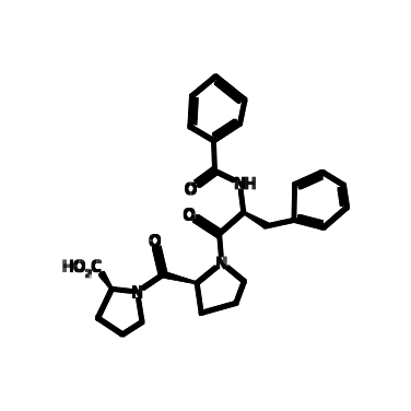 O=C(N[C@@H](Cc1ccccc1)C(=O)N1CCC[C@H]1C(=O)N1CCC[C@H]1C(=O)O)c1ccccc1